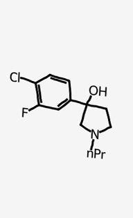 CCCN1CCC(O)(c2ccc(Cl)c(F)c2)C1